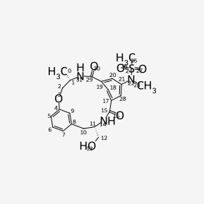 C[C@H]1COc2cccc(c2)C[C@@H](CO)NC(=O)c2cc(cc(N(C)S(C)(=O)=O)c2)C(=O)N1